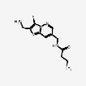 NCc1nc2cc(CNC(=O)CCC(F)(F)F)cnn2c1F